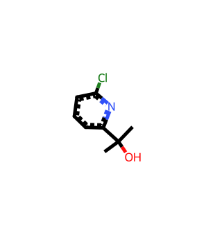 CC(C)(O)c1cccc(Cl)n1